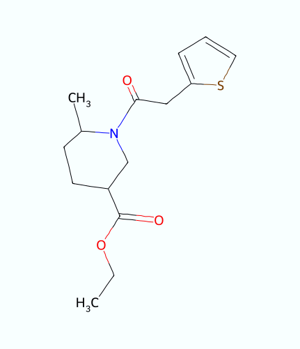 CCOC(=O)C1CCC(C)N(C(=O)Cc2cccs2)C1